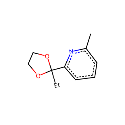 CCC1(c2cccc(C)n2)OCCO1